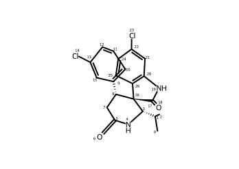 CC(C)[C@@H]1NC(=O)C[C@H](c2cccc(Cl)c2)[C@@]12C(=O)Nc1cc(Cl)ccc12